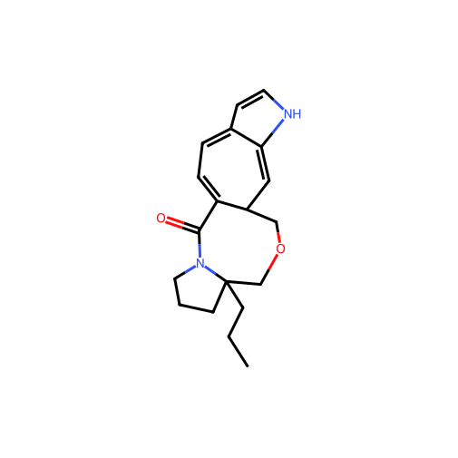 CCCC12CCCN1C(=O)C1=CC=c3cc[nH]c3=CC1COC2